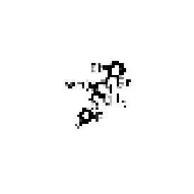 CCc1cccc(CC)c1-c1cc(OC)c(COc2ccc(F)cc2F)c(C)n1